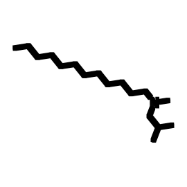 CCCCCCCCCCCCN(C)CC(C)C